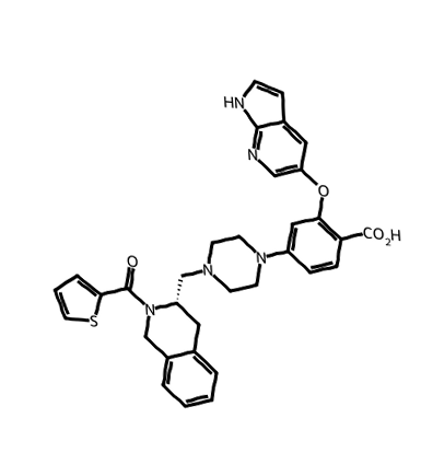 O=C(O)c1ccc(N2CCN(C[C@@H]3Cc4ccccc4CN3C(=O)c3cccs3)CC2)cc1Oc1cnc2[nH]ccc2c1